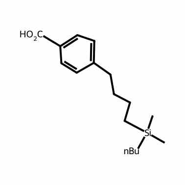 CCCC[Si](C)(C)CCCCc1ccc(C(=O)O)cc1